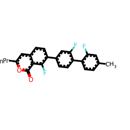 CCCc1cc2ccc(-c3ccc(-c4ccc(C)cc4F)c(F)c3)c(F)c2c(=O)o1